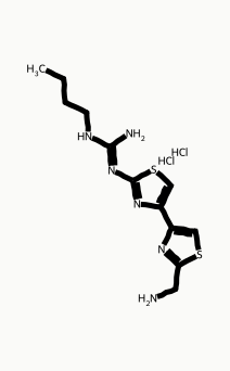 CCCCN/C(N)=N/c1nc(-c2csc(CN)n2)cs1.Cl.Cl